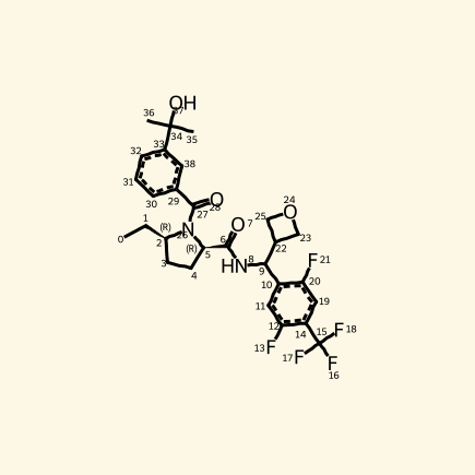 CC[C@@H]1CC[C@H](C(=O)NC(c2cc(F)c(C(F)(F)F)cc2F)C2COC2)N1C(=O)c1cccc(C(C)(C)O)c1